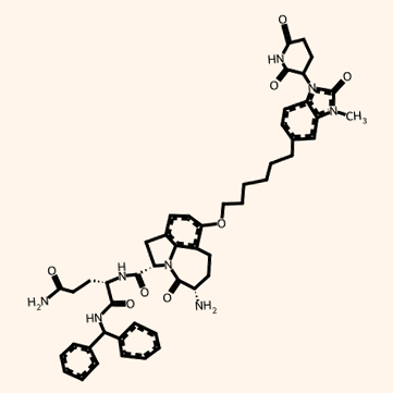 Cn1c(=O)n(C2CCC(=O)NC2=O)c2ccc(CCCCCCOc3ccc4c5c3CC[C@H](N)C(=O)N5[C@H](C(=O)N[C@@H](CCC(N)=O)C(=O)NC(c3ccccc3)c3ccccc3)C4)cc21